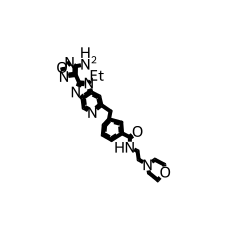 CCn1c(-c2nonc2N)nc2cnc(Cc3cccc(C(=O)NCCN4CCOCC4)c3)cc21